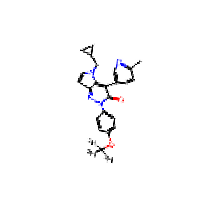 [2H]C([2H])([2H])Oc1ccc(-n2nc3ccn(CC4CC4)c3c(-c3ccc(C)nc3)c2=O)cc1